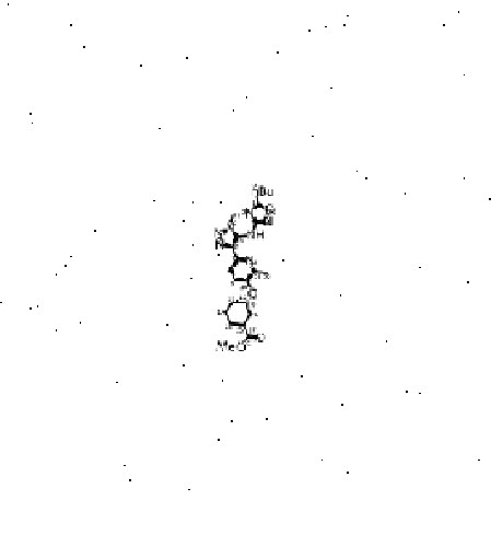 CCCCc1nc(Nc2c(-c3ccc(O[C@H]4CCC[C@H](C(=O)OC)C4)c(C)n3)nnn2C)no1